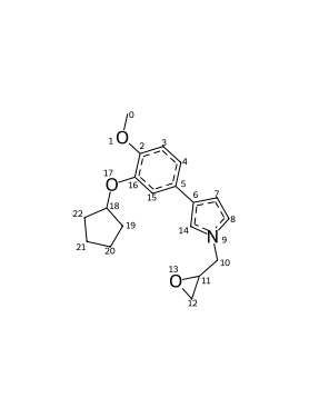 COc1ccc(-c2ccn(CC3CO3)c2)cc1OC1CCCC1